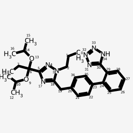 CCCn1nc(C(CC)(OC(C)C)OC(C)C)nc1Cc1ccc(-c2ccccc2-c2nnn[nH]2)cc1